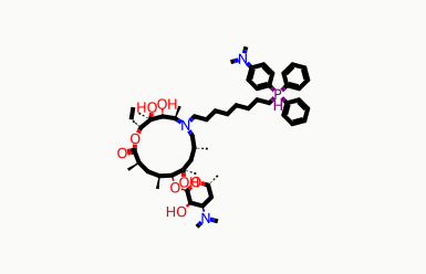 CC[C@H]1OC(=O)[C@H](C)C[C@H](C)[C@@H](O[C@@H]2O[C@H](C)C[C@H](N(C)C)[C@H]2O)[C@](C)(O)C[C@@H](C)CN(CCCCCCCC[PH](c2ccccc2)(c2ccccc2)c2ccc(N(C)C)cc2)[C@H](C)[C@@H](O)[C@]1(C)O